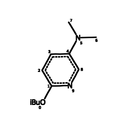 CC(C)COc1ccc(N(C)C)cn1